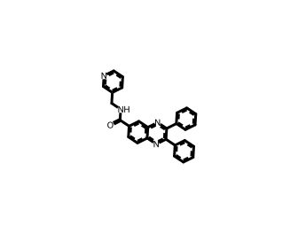 O=C(NCc1cccnc1)c1ccc2nc(-c3ccccc3)c(-c3ccccc3)nc2c1